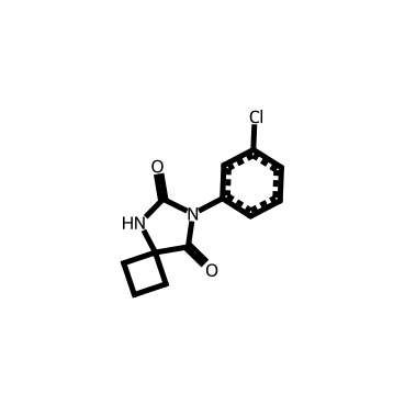 O=C1NC2(CCC2)C(=O)N1c1cccc(Cl)c1